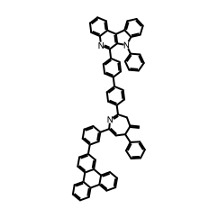 C=C1CC(c2ccc(-c3ccc(-c4nc5ccccc5c5c6ccccc6n(-c6ccccc6)c45)cc3)cc2)=NC(c2cccc(-c3ccc4c5ccccc5c5ccccc5c4c3)c2)=CC1c1ccccc1